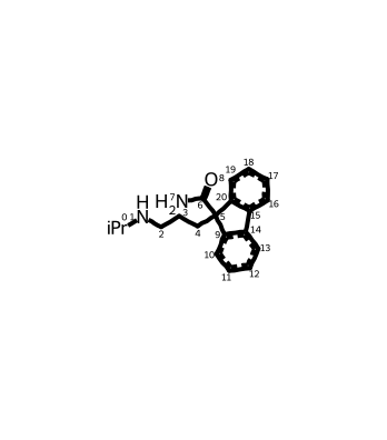 CC(C)NCCCC1(C(N)=O)c2ccccc2-c2ccccc21